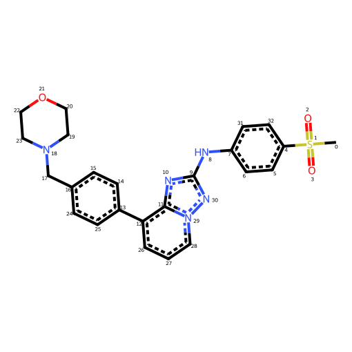 CS(=O)(=O)c1ccc(Nc2nc3c(-c4ccc(CN5CCOCC5)cc4)cccn3n2)cc1